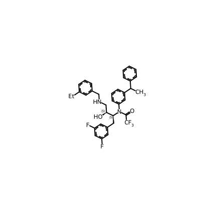 CCc1cccc(CNC[C@H](O)[C@H](Cc2cc(F)cc(F)c2)N(C(=O)C(F)(F)F)c2cccc(C(C)c3ccccc3)c2)c1